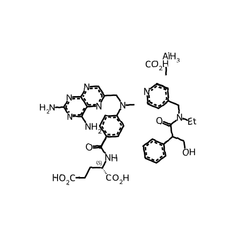 CC(=O)O.CCN(Cc1ccncc1)C(=O)C(CO)c1ccccc1.CN(Cc1cnc2nc(N)nc(N)c2n1)c1ccc(C(=O)N[C@@H](CCC(=O)O)C(=O)O)cc1.[AlH3]